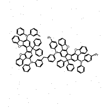 Cc1cccc(N(c2ccccc2)c2cc3c(c4oc5ccccc5c24)-c2c(cc(N(c4ccccc4)c4cccc(Cc5cccc(N(c6ccc(C(C)C)cc6)c6cc7c(c8oc9ccccc9c68)-c6c(cc(N(c8ccccc8)c8ccc(C(C)C)cc8)c8c6oc6ccccc68)C7(c6ccccc6)c6ccccc6)c5)c4)c4c2oc2ccccc24)C3(c2ccccc2)c2ccccc2)c1